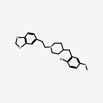 COc1ccc(Br)c(CC2CCN(CCc3ccc4c(c3)OCO4)CC2)c1